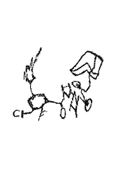 Cn1cnc(-c2cc(Cl)c(F)c(C(=O)NNS(=O)(=O)CC34CC5CC(CC(C5)C3)C4)c2)c1